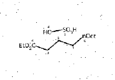 CCCCCCCCCCCC(=O)OCC.O=S(=O)(O)O